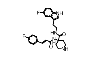 O=C(/C=C/c1ccc(F)cc1)NC1(C(=O)NCCc2c[nH]c3ccc(F)cc23)CCNCC1